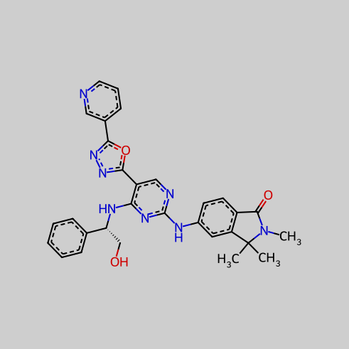 CN1C(=O)c2ccc(Nc3ncc(-c4nnc(-c5cccnc5)o4)c(N[C@H](CO)c4ccccc4)n3)cc2C1(C)C